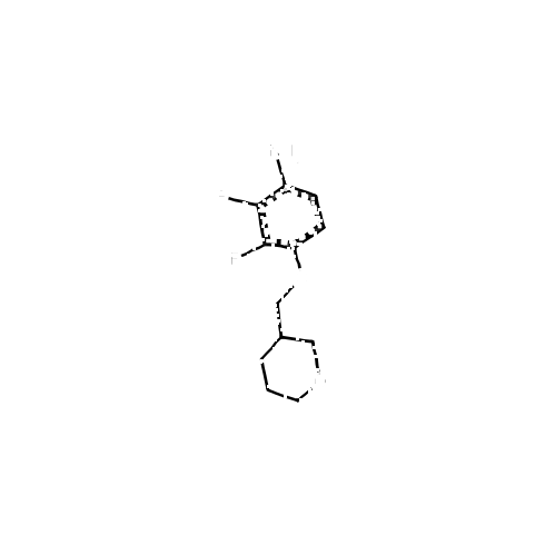 Nc1ccc(OCC2CCCOC2)c(F)c1F